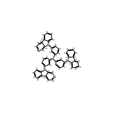 c1cc(N(c2cccc(-n3c4ccccc4c4ccncc43)c2)c2cccc(-n3c4ccccc4c4ccncc43)c2)cc(-n2c3ccccc3c3ccccc32)c1